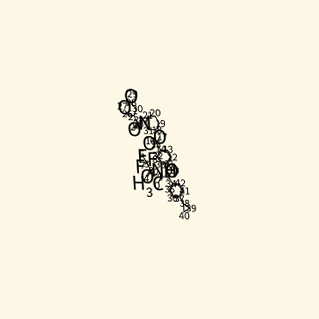 CC(NC(=O)C(F)(F)F)C(Oc1ccc(C(=O)O[C@H]2CCCN(C(=O)[C@H]3COC(=O)C3)C2)cc1)c1ccc(C2CC2)cc1